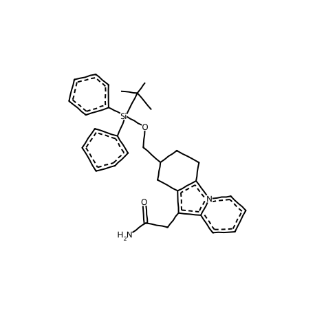 CC(C)(C)[Si](OCC1CCc2c(c(CC(N)=O)c3ccccn23)C1)(c1ccccc1)c1ccccc1